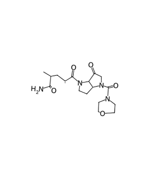 CC(C[CH]C(=O)N1CCC2C1C(=O)CN2C(=O)N1CCOCC1)C(N)=O